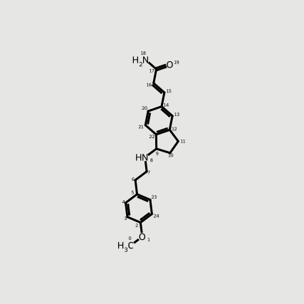 COc1ccc(CCNC2CCc3cc(/C=C/C(N)=O)ccc32)cc1